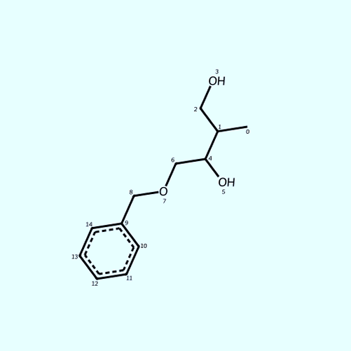 CC(CO)C(O)COCc1ccccc1